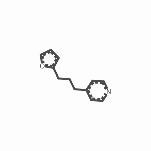 c1coc(CCCc2ccncc2)c1